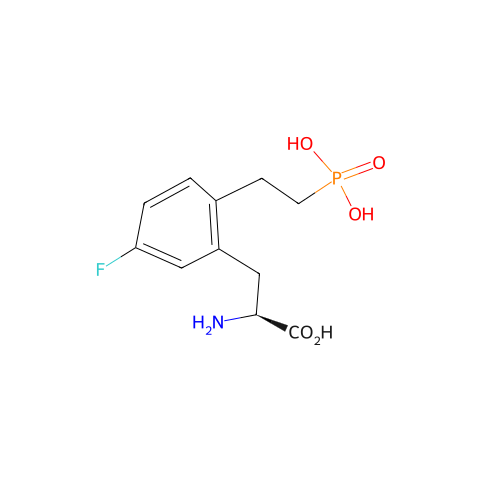 N[C@@H](Cc1cc(F)ccc1CCP(=O)(O)O)C(=O)O